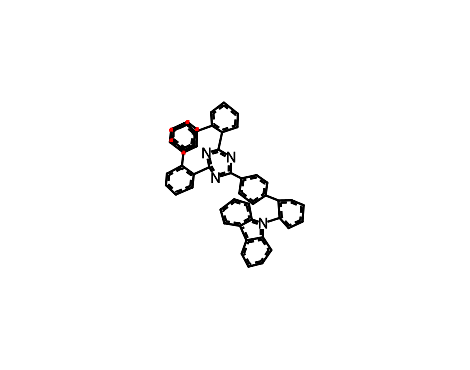 c1ccc(-c2ccccc2-c2nc(-c3ccc(-c4ccccc4-n4c5ccccc5c5ccccc54)cc3)nc(-c3ccccc3-c3ccccc3)n2)cc1